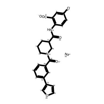 O=C([O-])c1cc(Cl)ccc1NC(=O)C1CCCN(C(=O)c2cccc(-c3ccoc3)c2)C1.[Na+]